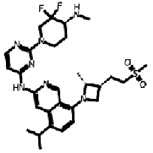 CN[C@H]1CCN(c2nccc(Nc3cc4c(C(C)C)ccc(N5C[C@H](CCS(C)(=O)=O)[C@H]5C)c4cn3)n2)CC1(F)F